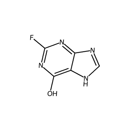 Oc1nc(F)nc2nc[nH]c12